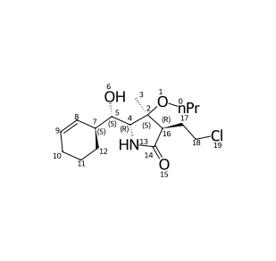 CCCO[C@]1(C)[C@@H]([C@@H](O)[C@@H]2C=CCCC2)NC(=O)[C@@H]1CCCl